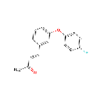 CC(=O)C=Cc1cccc(Oc2ccc(F)cc2)c1